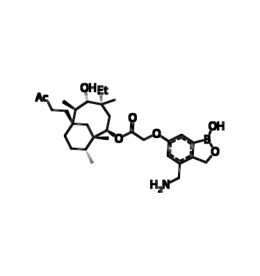 CC[C@]1(C)C[C@@H](OC(=O)COc2cc(CN)c3c(c2)B(O)OC3)[C@@]2(C)C[C@](CCC(C)=O)(CC[C@H]2C)[C@@H](C)[C@@H]1O